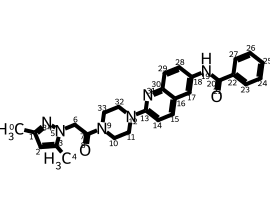 Cc1cc(C)n(CC(=O)N2CCN(c3ccc4cc(NC(=O)c5ccccc5)ccc4n3)CC2)n1